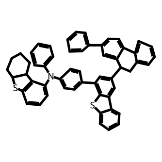 c1ccc(-c2ccc3c(c2)C(c2cc(-c4ccc(N(c5ccccc5)c5cccc6c5C5CCCCC5S6)cc4)c4sc5ccccc5c4c2)Cc2ccccc2-3)cc1